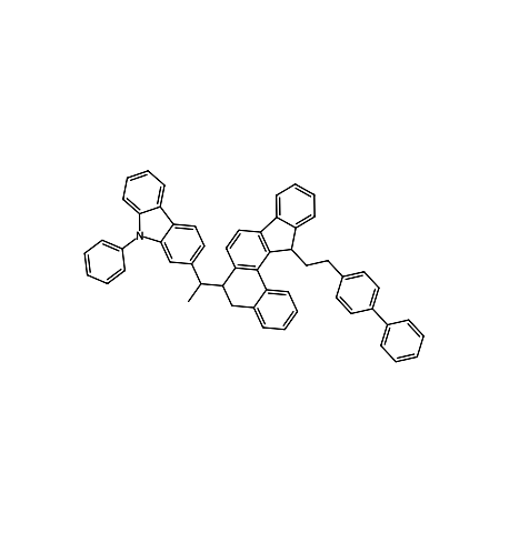 CC(c1ccc2c3ccccc3n(-c3ccccc3)c2c1)C1Cc2ccccc2-c2c1ccc1c2C(CCc2ccc(-c3ccccc3)cc2)c2ccccc2-1